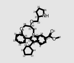 COC(=O)c1ccc2c(C3CCCCC3)c3n(c2c1)C[C@H](OCC1CCCN1)COc1ccccc1-3